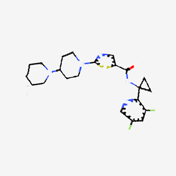 C[C@@H]1CCCN(C2CCN(c3ncc(C(=O)NC4(c5ncc(F)cc5F)CC4)s3)CC2)C1